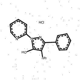 CCCc1c(-c2ccccc2)nn(-c2ccccn2)c1O.Cl